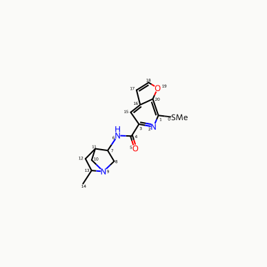 CSc1nc(C(=O)NC2CN3CC2CC3C)cc2ccoc12